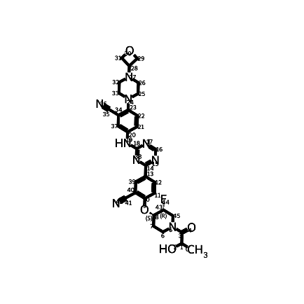 CC(O)C(=O)N1CC[C@H](Oc2ccc(-c3ncnc(Nc4ccc(N5CCN(C6COC6)CC5)c(C#N)c4)n3)cc2C#N)[C@H](F)C1